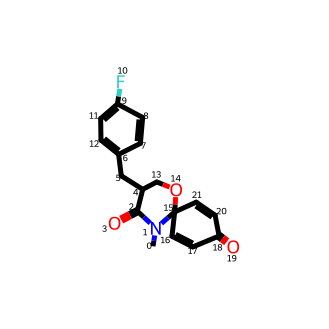 CN1C(=O)C(Cc2ccc(F)cc2)COC12C=CC(=O)C=C2